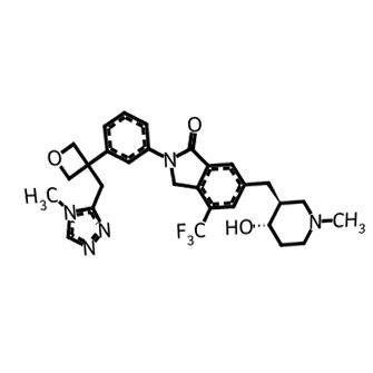 CN1CC[C@H](O)[C@@H](Cc2cc3c(c(C(F)(F)F)c2)CN(c2cccc(C4(Cc5nncn5C)COC4)c2)C3=O)C1